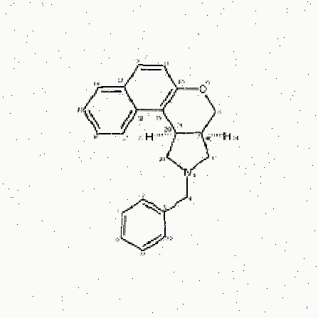 c1ccc(CN2C[C@@H]3COc4ccc5ccccc5c4[C@@H]3C2)cc1